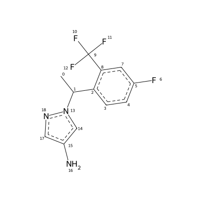 CC(c1ccc(F)cc1C(F)(F)F)n1cc(N)cn1